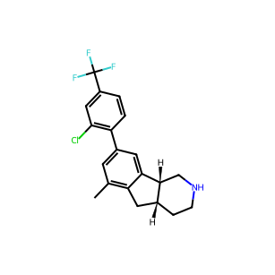 Cc1cc(-c2ccc(C(F)(F)F)cc2Cl)cc2c1C[C@H]1CCNC[C@@H]21